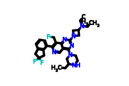 CCC1CN(c2nc(N3CC(N(CC)CC)C3)nc3c(CF)c(-c4cccc5c4CC(F)(F)C5)ncc23)CCN1